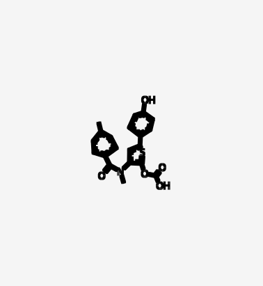 Cc1ccc(C(=O)N(C)c2cc(-c3ccc(O)cc3)sc2OC(=O)O)cc1